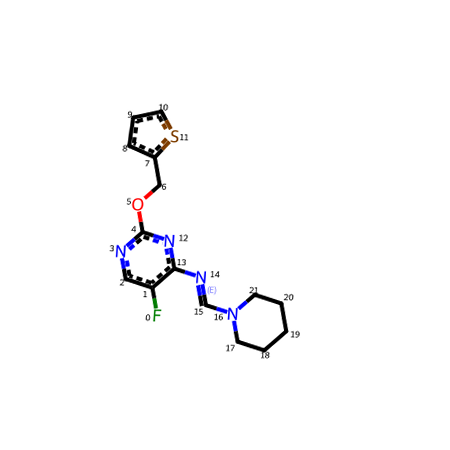 Fc1cnc(OCc2cccs2)nc1/N=C/N1CCCCC1